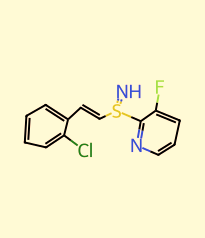 N=S(/C=C/c1ccccc1Cl)c1ncccc1F